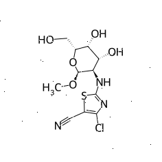 CO[C@H]1O[C@H](CO)[C@H](O)[C@H](O)[C@H]1Nc1nc(Cl)c(C#N)s1